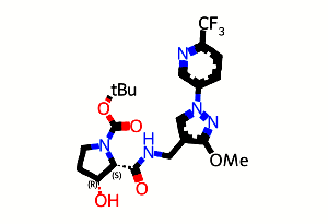 COc1nn(-c2ccc(C(F)(F)F)nc2)cc1CNC(=O)[C@@H]1[C@H](O)CCN1C(=O)OC(C)(C)C